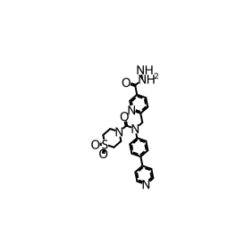 NNC(=O)c1ccc(CN(C(=O)N2CCS(=O)(=O)CC2)c2ccc(-c3ccncc3)cc2)nc1